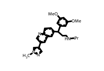 COc1cc(OC)cc(C(CCNC(C)C)c2ccc3ncc(-c4cnn(C)c4)cc3c2)c1